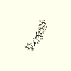 O=C(NC1CCN(Cc2ccc(F)cc2F)CC1)c1ccc(-c2cccc(F)c2)nc1